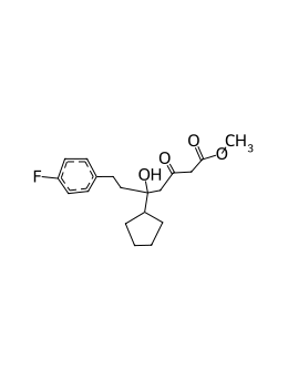 COC(=O)CC(=O)CC(O)(CCc1ccc(F)cc1)C1CCCC1